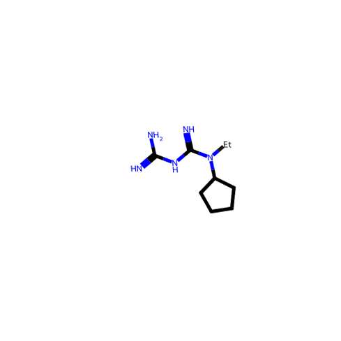 CCN(C(=N)NC(=N)N)C1CCCC1